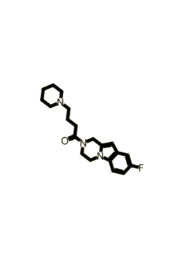 O=C(CCCN1CCCCC1)N1CCn2c(cc3cc(F)ccc32)C1